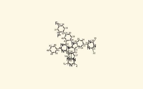 Cc1nc(C)nc(-c2ccc3c(c2)c2cc(-c4nc(C)nc(C)n4)ccc2n3-c2ccc(-c3ccc(F)cc3F)cc2-c2nc(-c3ccccc3)nc(-c3ccccc3)n2)n1